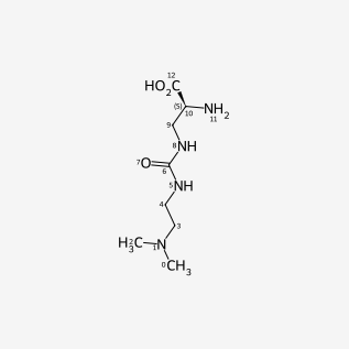 CN(C)CCNC(=O)NC[C@H](N)C(=O)O